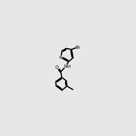 Cc1cccc(C(=O)Nc2cc(Br)ccn2)c1